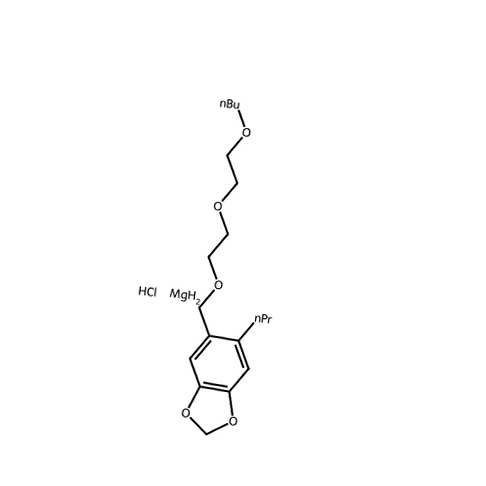 CCCCOCCOCCOCc1cc2c(cc1CCC)OCO2.Cl.[MgH2]